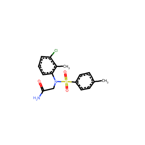 Cc1ccc(S(=O)(=O)N(CC(N)=O)c2cccc(Cl)c2C)cc1